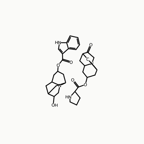 O=C(OC1CC2CC3CC(C1)N2CC3O)c1c[nH]c2ccccc12.O=C1CN2C3CC(OC(=O)C4CCCN4)CC2CC1C3